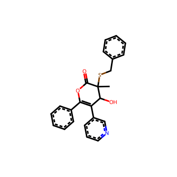 CC1(SCc2ccccc2)C(=O)OC(c2ccccc2)=C(c2cccnc2)C1O